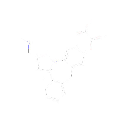 CNC[C@H]1C[C@@H]2c3ccccc3Cc3ccccc3N2O1.O=C(O)C(=O)O